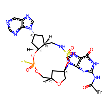 CC(C)C(=O)Nc1nc2c(ncn2[C@]23CO[C@H](COP(=O)(S)O[C@H]4C[C@H](n5cnc6cncnc65)C[C@@H]4CNS(=O)(=O)O2)C3)c(=O)[nH]1